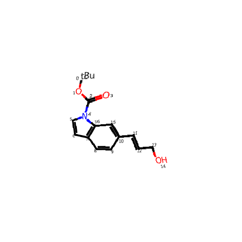 CC(C)(C)OC(=O)n1ccc2ccc(/C=C/CO)cc21